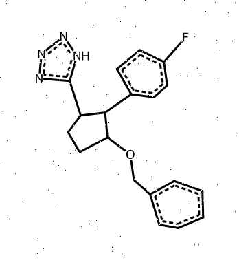 Fc1ccc(C2C(OCc3ccccc3)CCC2c2nnn[nH]2)cc1